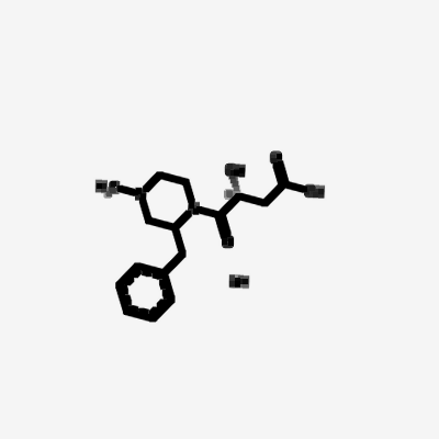 CN1CCN(C(=O)[C@H](O)CC(=O)O)C(Cc2ccccc2)C1.[LiH]